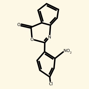 O=c1oc(-c2ccc(Cl)cc2[N+](=O)[O-])nc2ccccc12